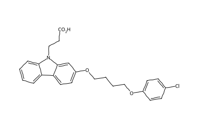 O=C(O)CCn1c2ccccc2c2ccc(OCCCCOc3ccc(Cl)cc3)cc21